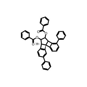 O=C(OC1C(OC(=O)c2ccccc2)[C@@H]2c3ccc(-c4ccccc4)cc3[C@@]23c2cccc(-c4ccccc4)c2C13)c1ccccc1